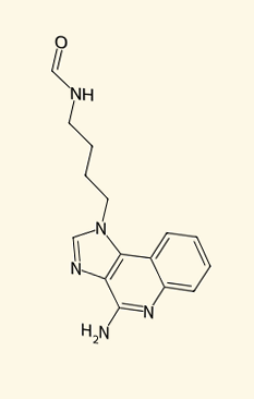 Nc1nc2ccccc2c2c1ncn2CCCCNC=O